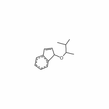 CC(C)C(C)OC1C=Cc2ccccc21